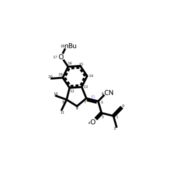 C=C(C)C(=O)/C(C#N)=C1\CC(C)(C)c2c1ccc(OCCCC)c2C